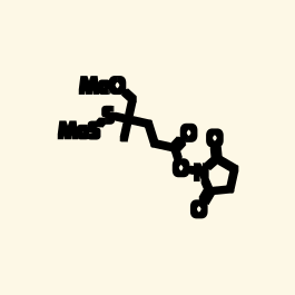 COCC(C)(CCC(=O)ON1C(=O)CCC1=O)SSC